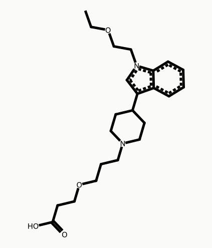 CCOCCn1cc(C2CCN(CCCOCCC(=O)O)CC2)c2ccccc21